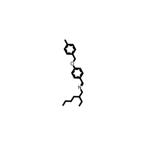 CCCCC(CC)CN=Cc1ccc(OCc2ccc(C)cc2)cc1